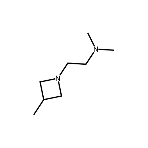 CC1CN(CCN(C)C)C1